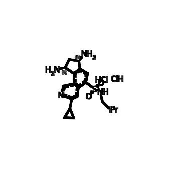 CC(C)CNS(=O)(=O)c1cc2c(c3cnc(C4CC4)cc13)[C@@H](N)C[C@H]2N.Cl.Cl